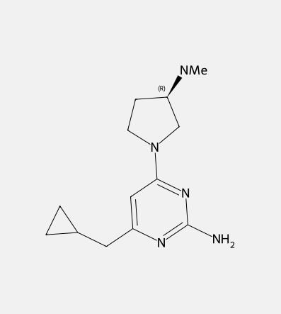 CN[C@@H]1CCN(c2cc(CC3CC3)nc(N)n2)C1